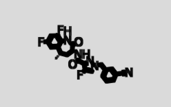 C[C@H]1C[C@@H](NC(=O)c2nn(Cc3cccc(C#N)c3)cc2F)C(=O)Nc2c(F)cc(F)cc21